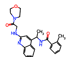 Cc1ccccc1C(=O)NC(C)c1cc(NCC(=O)N2CCOCC2)nc2ccccc12